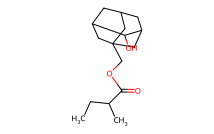 CCC(C)C(=O)OCC12CC3CC(C1)C(O)C(C3)C2